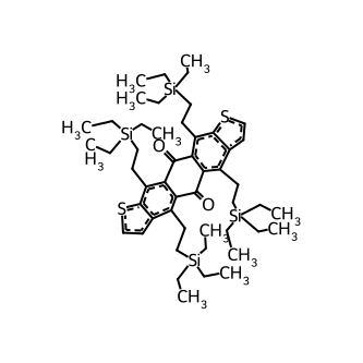 CC[Si](CC)(CC)CCc1c2c(c(CC[Si](CC)(CC)CC)c3sccc13)C(=O)c1c(c(CC[Si](CC)(CC)CC)c3ccsc3c1CC[Si](CC)(CC)CC)C2=O